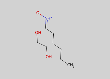 CCCCCC=[NH+][O-].OCCO